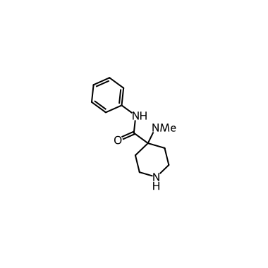 CNC1(C(=O)Nc2ccccc2)CCNCC1